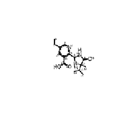 CCc1cnc(C2NC(=O)C(C)(C(C)C)N2)c(C(=O)O)c1